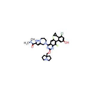 CN(C)C(=O)c1cc2n(n1)CCCN(c1nc(OCC34CCCN3CCC4)nc3c(F)c(-c4cc(O)cc(Cl)c4C4CC4)c(F)cc13)C2